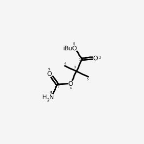 CC(C)COC(=O)C(C)(C)OC(N)=O